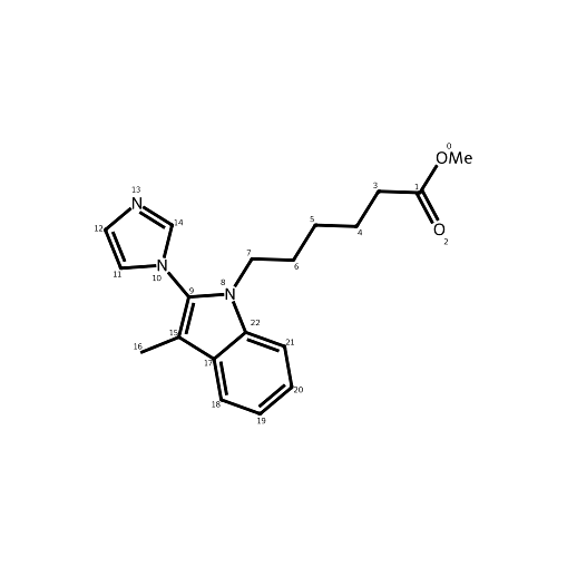 COC(=O)CCCCCn1c(-n2ccnc2)c(C)c2ccccc21